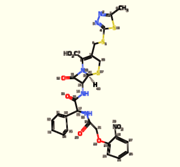 Cc1nnc(SCC2=C(C(=O)O)N3C(=O)C(NC(=O)[C@@H](NC(=O)COc4ccccc4[N+](=O)[O-])c4ccccc4)[C@@H]3SC2)s1